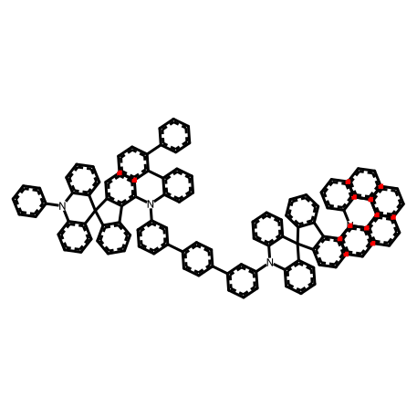 c1ccc(-c2ccccc2-c2ccccc2N(c2cccc(-c3ccc(-c4cccc(N5c6ccccc6C6(c7ccccc7-c7c(N(c8ccccc8-c8ccccc8)c8ccccc8-c8ccccc8-c8ccccc8)cccc76)c6ccccc65)c4)cc3)c2)c2cccc3c2-c2ccccc2C32c3ccccc3N(c3ccccc3)c3ccccc32)cc1